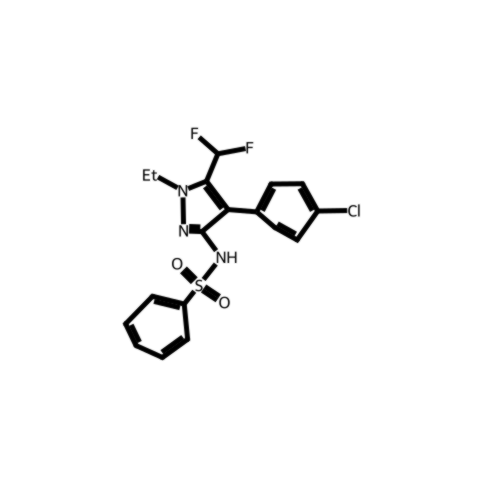 CCn1nc(NS(=O)(=O)c2ccccc2)c(-c2ccc(Cl)cc2)c1C(F)F